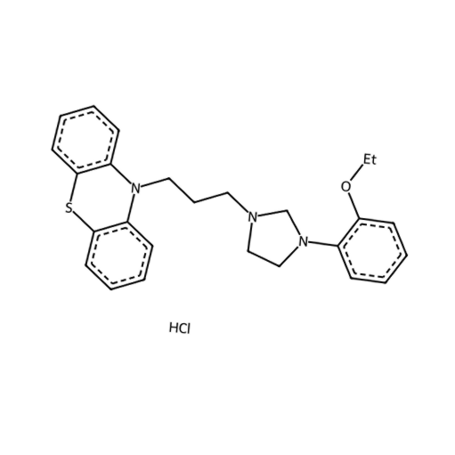 CCOc1ccccc1N1CCN(CCCN2c3ccccc3Sc3ccccc32)C1.Cl